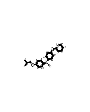 CC(C)COc1ccc(N(C)c2ccc(Oc3ccccn3)cc2)cc1